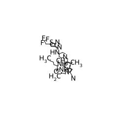 C=C(Cn1c(C#N)cc2c(C)c(CN3CCC(Nc4ncnc5sc(CC(F)(F)F)cc45)CC3)ccc21)NC(=O)C(CCCC)NC